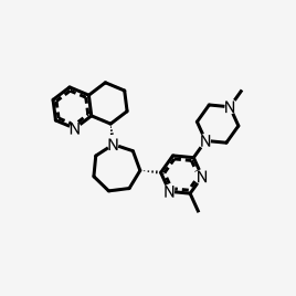 Cc1nc([C@@H]2CCCCN([C@H]3CCCc4cccnc43)C2)cc(N2CCN(C)CC2)n1